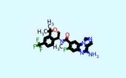 CN(C(=O)c1cc2c(cc1F)nc(N)c1cncn12)[C@H]1COC(C)(C)c2cc(C(F)(F)F)ccc21